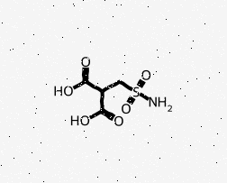 NS(=O)(=O)CC(C(=O)O)C(=O)O